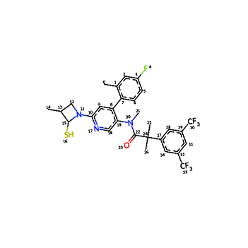 Cc1cc(F)ccc1-c1cc(N2CC(C)C2S)ncc1N(C)C(=O)C(C)(C)c1cc(C(F)(F)F)cc(C(F)(F)F)c1